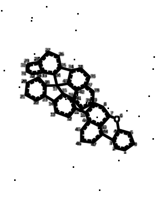 c1ccc2c(c1)Oc1ccc(-c3ccc4c(c3)C3(c5ccccc5-4)c4c(ccc5ccccc45)-c4ccc5ccccc5c43)c3cccc-2c13